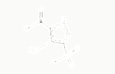 Cc1c(S(=O)(=O)Cl)c[nH]c1C(=O)Cl